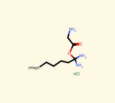 CCCCCCCCCCCC(N)(N)OC(=O)CN.Cl